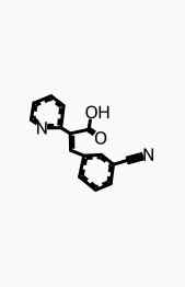 N#Cc1cccc(C=C(C(=O)O)c2ccccn2)c1